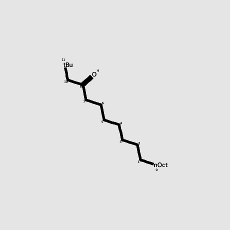 CCCCCCCCCCCCCCCC(=O)CC(C)(C)C